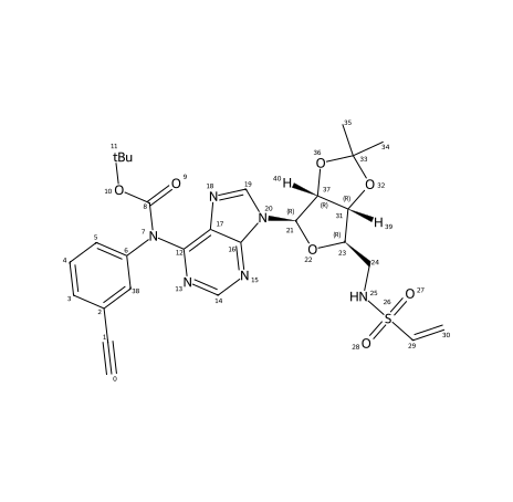 C#Cc1cccc(N(C(=O)OC(C)(C)C)c2ncnc3c2ncn3[C@@H]2O[C@H](CNS(=O)(=O)C=C)[C@H]3OC(C)(C)O[C@H]32)c1